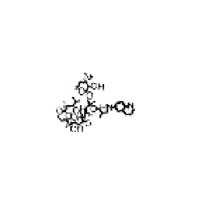 CC[C@@H](OC(=O)[C@H](C)C(=O)C(C)C)[C@@](C)(O)[C@H](O)[C@@H](C)C(=O)N[C@H](C)C[C@](C)(CO[C@@H]1O[C@H](C)C[C@H](N(C)C)[C@H]1O)OCC(C)CNc1ccc2ncccc2c1